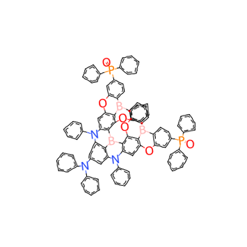 O=P(c1ccccc1)(c1ccccc1)c1ccc2c(c1)Oc1cc3c(c4c1B2c1ccccc1O4)B1c2c(cc(N(c4ccccc4)c4ccccc4)cc2N(c2ccccc2)c2cc4c5c(c21)Oc1ccccc1B5c1ccc(P(=O)(c2ccccc2)c2ccccc2)cc1O4)N3c1ccccc1